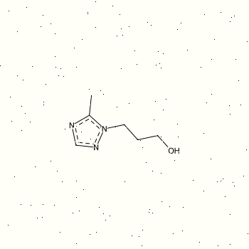 Cc1ncnn1CCCO